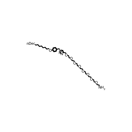 CCCCCCCCCCCCCCCCCCOc1ccc(Cn2cc(COCCOCCOCCOCCOCCOCCOCCOCCN)nn2)cc1